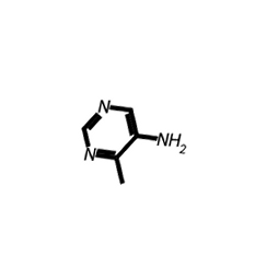 Cc1ncncc1N